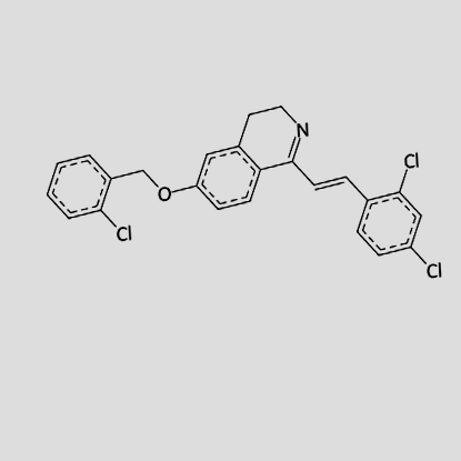 Clc1ccc(/C=C/C2=NCCc3cc(OCc4ccccc4Cl)ccc32)c(Cl)c1